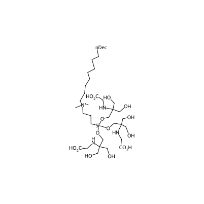 CCCCCCCCCCCCCCCCCC[N+](C)(C)CCC[Si](OCC(CO)(CO)NCC(=O)O)(OCC(CO)(CO)NCC(=O)O)OCC(CO)(CO)NCC(=O)O